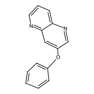 c1ccc(Oc2cnc3cccnc3c2)cc1